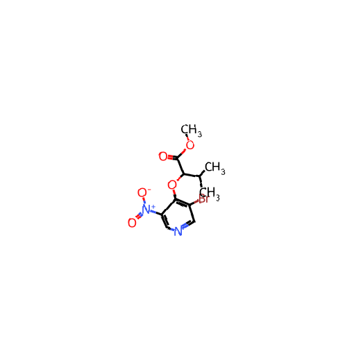 COC(=O)C(Oc1c(Br)cncc1[N+](=O)[O-])C(C)C